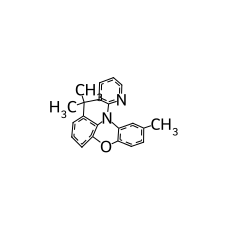 Cc1ccc2c(c1)N1c3ncccc3C(C)(C)c3cccc(c31)O2